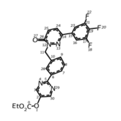 CCOC(=O)Oc1cnc(-c2cccc(Cn3nc(-c4cc(F)c(F)c(F)c4)ccc3=O)c2)nc1